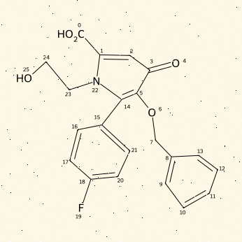 O=C(O)c1cc(=O)c(OCc2ccccc2)c(-c2ccc(F)cc2)n1CCO